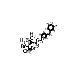 CC1(C)[C@H](C(Br)C(Cl)(Cl)Br)[C@@H]1C(=O)OCn1ccc(Cc2ccccc2)c1